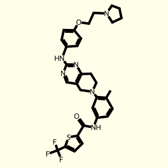 Cc1ccc(NC(=O)c2ccc(C(F)(F)F)s2)cc1N1CCc2nc(Nc3ccc(OCCN4CCCC4)cc3)ncc2C1